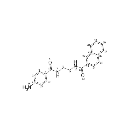 Nc1ccc(C(=O)NCCNC(=O)c2ccc3ccccc3c2)cc1